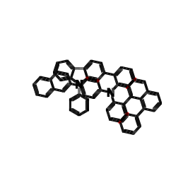 c1ccc(-c2cccc3cccc(-c4ccccc4N(c4ccc(-c5ccc6ccccc6c5)cc4)c4ccccc4-c4ccc5c6ccccc6n(-c6ccccc6)c5c4)c23)cc1